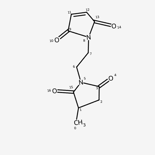 CC1CC(=O)N(CCN2C(=O)C=CC2=O)C1=O